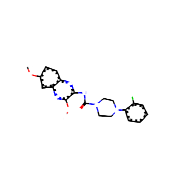 COc1ccc2nc(NC(=O)N3CCN(c4ccccc4Cl)CC3)c(OC)nc2c1